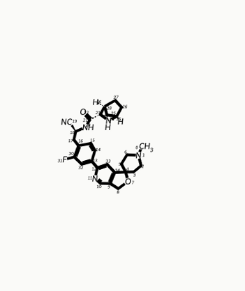 CN1CCC2(CC1)OCc1cnc(-c3ccc(C[C@@H](C#N)NC(=O)[C@H]4N[C@@H]5CC[C@H]4C5)c(F)c3)cc12